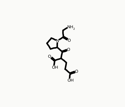 NCC(=O)N1CCCC1C(=O)C(CCC(=O)O)C(=O)O